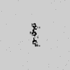 CCCCc1ncc(CNc2ccc(Cc3c[nH]c4ncncc34)c(F)n2)cn1